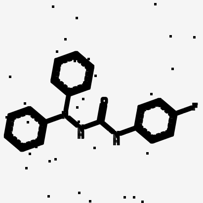 O=C(Nc1ccc(F)cc1)NN(c1ccccc1)c1ccccc1